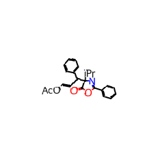 CC(=O)OC=CC(c1ccccc1)C1(C(C)C)N=C(c2ccccc2)OC1=O